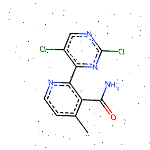 Cc1ccnc(-c2nc(Cl)ncc2Cl)c1C(N)=O